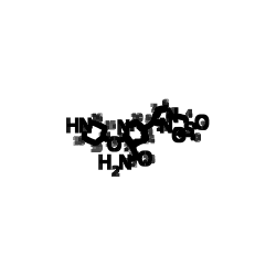 CS(=O)(=O)Cn1ccc(-c2cnc(OC3CCNCC3)c(C(N)=O)c2)n1